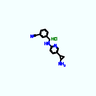 Cl.N#Cc1cccc(CNc2ccc(C3CC3N)cn2)c1